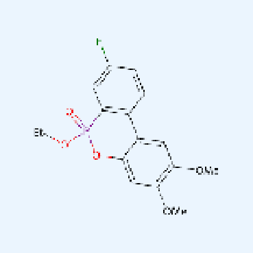 CCOP1(=O)Oc2cc(OC)c(OC)cc2-c2ccc(F)cc21